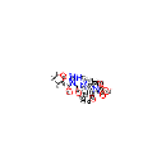 NN(C(=O)c1ccco1)C(=O)N1CC[C@@H]2[C@H]1C(=O)N2S(=O)(=O)[O-].[Na+]